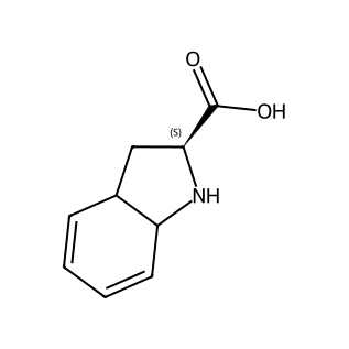 O=C(O)[C@@H]1CC2C=CC=CC2N1